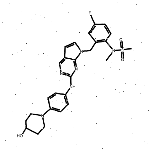 CN(c1ccc(F)cc1Cn1ccc2cnc(Nc3ccc(N4CCC(O)CC4)cc3)nc21)S(C)(=O)=O